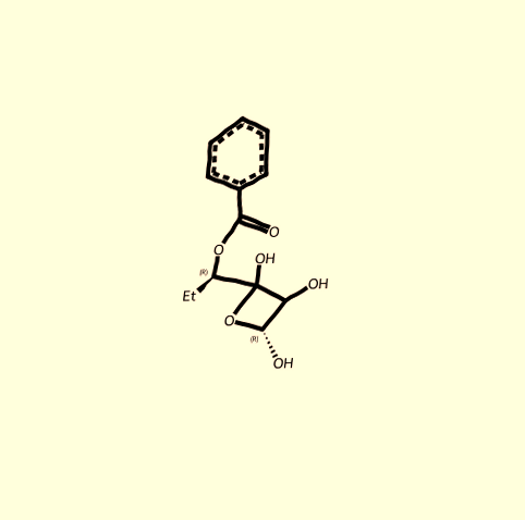 CC[C@@H](OC(=O)c1ccccc1)C1(O)O[C@@H](O)C1O